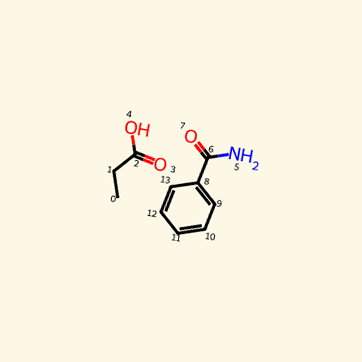 CCC(=O)O.NC(=O)c1ccccc1